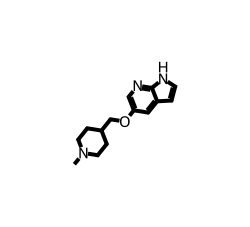 CN1CCC(COc2cnc3[nH]ccc3c2)CC1